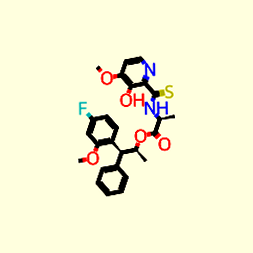 COc1cc(F)ccc1[C@H](c1ccccc1)[C@H](C)OC(=O)[C@H](C)NC(=S)c1nccc(OC)c1O